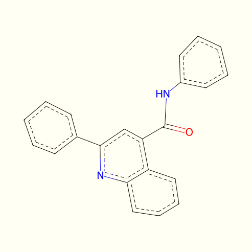 O=C(Nc1ccccc1)c1cc(-c2ccccc2)nc2ccccc12